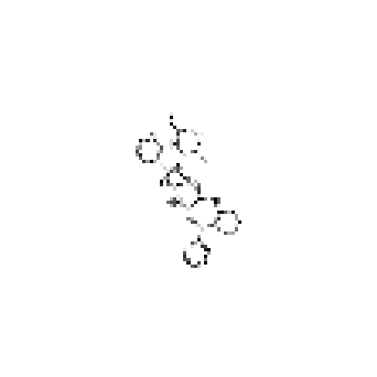 CC[C@H]1CO[C@@H](C)CN1c1ncccc1-c1nnc(NC2N=C(c3ccccc3)c3ccccc3NC2=O)o1